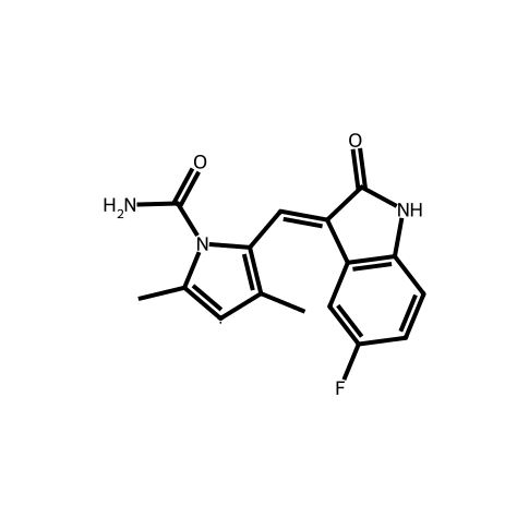 Cc1[c]c(C)n(C(N)=O)c1C=C1C(=O)Nc2ccc(F)cc21